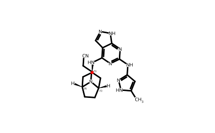 Cc1cc(Nc2nc(N[C@@H]3C[C@H]4CC[C@@H](C3)N4CCC#N)c3cn[nH]c3n2)n[nH]1